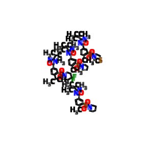 CC(C)c1noc(-c2ccc(C(C)C)c(S(=O)(=O)N3CCC(F)(F)CC3)c2)n1.Cc1ccc(-c2nc(C(C)(C)C)no2)cc1S(=O)(=O)N1CCCC1.Cc1ccc(-c2nc(C(C)(C)C)no2)cc1S(=O)(=O)N1CCCCC1.Cc1ccc(-c2nc(C(C)(C)C)no2)cc1S(=O)(=O)N1CCSCC1